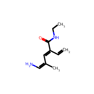 C=C/C(=C\C(C)=C/N)C(=O)NCC